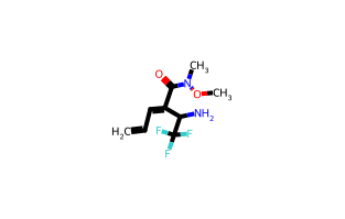 C=C/C=C(/C(=O)N(C)OC)C(N)C(F)(F)F